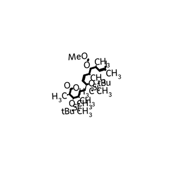 COCO[C@@H]([C@@H](C)/C=C\[C@H](CC1OC(=O)[C@H](C)[C@@H](O[Si](C)(C)C(C)(C)C)[C@H]1C)O[Si](C)(C)C(C)(C)C)[C@@H](C)/C=C(/C)I